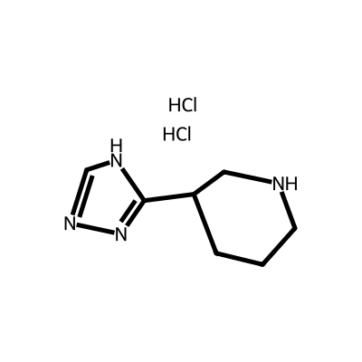 Cl.Cl.c1nnc(C2CCCNC2)[nH]1